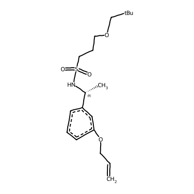 C=CCOc1cccc([C@@H](C)NS(=O)(=O)CCCOCC(C)(C)C)c1